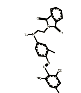 CCN(CCN1C(=O)c2ccccc2C1=O)c1ccc(/N=N/c2c(C#N)cc([N+](=O)[O-])cc2C#N)c(C)c1